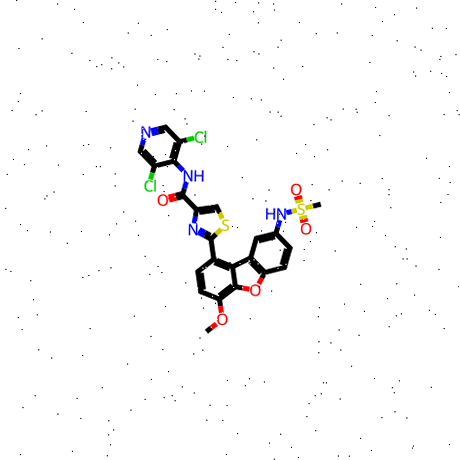 COc1ccc(-c2nc(C(=O)Nc3c(Cl)cncc3Cl)cs2)c2c1oc1ccc(NS(C)(=O)=O)cc12